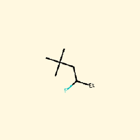 CCC(F)CC(C)(C)C